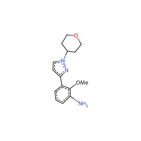 COc1c(N)cccc1-c1ccn(C2CCOCC2)n1